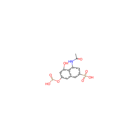 CC(=O)Nc1cc(S(=O)(=O)O)cc2cc(OS(=O)O)cc(O)c12